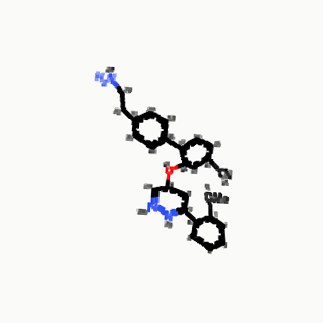 COc1ccccc1-c1cc(Oc2cc(C#N)ccc2-c2ccc(CCN)cc2)cnn1